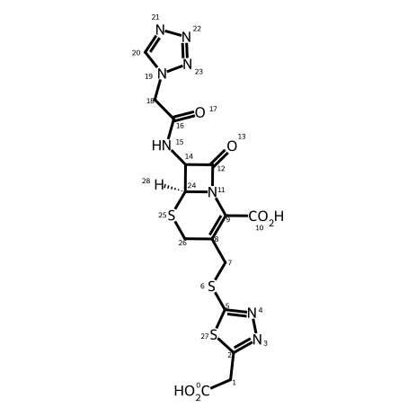 O=C(O)Cc1nnc(SCC2=C(C(=O)O)N3C(=O)C(NC(=O)Cn4cnnn4)[C@@H]3SC2)s1